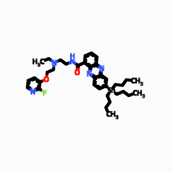 CCC[CH2][Sn]([CH2]CCC)([CH2]CCC)[c]1ccc2nc3c(C(=O)NCCN(CC)CCOc4cccnc4F)cccc3nc2c1